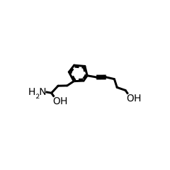 NC(O)CCc1cccc(C#CCCCO)c1